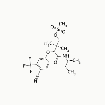 CC[C@H](C)NC(=O)C(Oc1ccc(C#N)c(C(F)(F)F)c1)C(C)(C)COS(C)(=O)=O